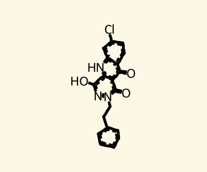 O=c1c2ccc(Cl)cc2[nH]c2c(O)nn(CCc3ccccc3)c(=O)c12